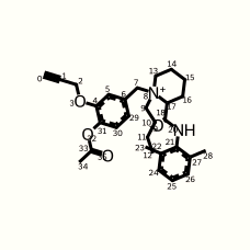 C#CCOc1cc(C[N+]2(CCCC)CCCCC2C(=O)Nc2c(C)cccc2C)ccc1OC(C)=O